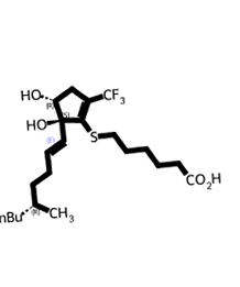 CCCC[C@@H](C)CC/C=C/[C@@]1(O)C(SCCCCCC(=O)O)=C(C(F)(F)F)C[C@H]1O